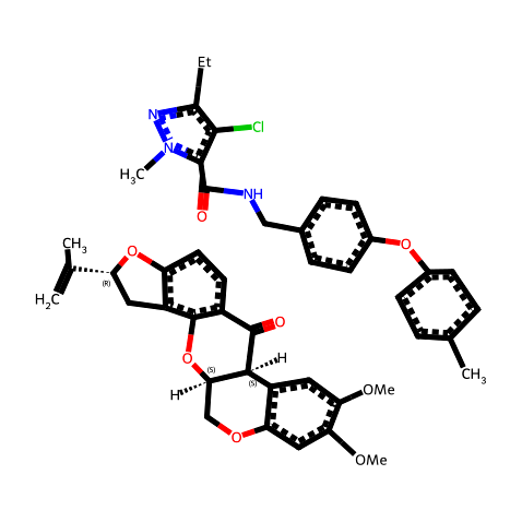 C=C(C)[C@H]1Cc2c(ccc3c2O[C@@H]2COc4cc(OC)c(OC)cc4[C@@H]2C3=O)O1.CCc1nn(C)c(C(=O)NCc2ccc(Oc3ccc(C)cc3)cc2)c1Cl